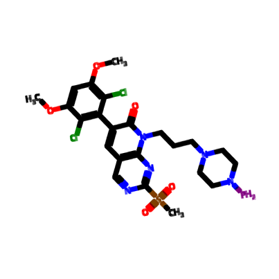 COc1cc(OC)c(Cl)c(-c2cc3cnc(S(C)(=O)=O)nc3n(CCCN3CCN(P)CC3)c2=O)c1Cl